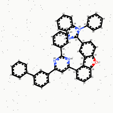 c1ccc(-c2cccc(-c3cc(-c4cccc5oc6ccc(-c7nc8ccccc8n7-c7ccccc7)cc6c45)nc(-c4ccccc4)n3)c2)cc1